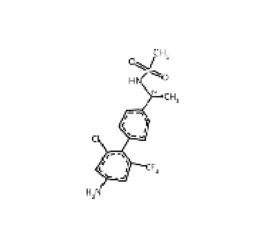 C[C@H](NS(C)(=O)=O)c1ccc(-c2c(Cl)cc(N)cc2C(F)(F)F)cc1